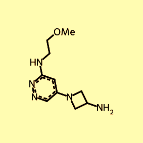 COCCNc1cc(N2CC(N)C2)cnn1